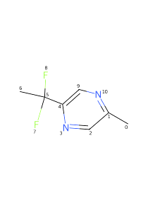 Cc1cnc(C(C)(F)F)cn1